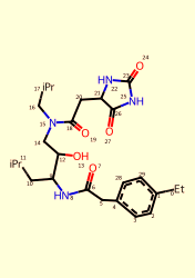 CCc1ccc(CC(=O)NC(CC(C)C)C(O)CN(CC(C)C)C(=O)CC2NC(=O)NC2=O)cc1